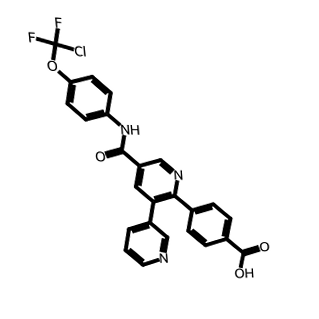 O=C(O)c1ccc(-c2ncc(C(=O)Nc3ccc(OC(F)(F)Cl)cc3)cc2-c2cccnc2)cc1